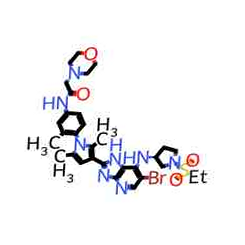 CCS(=O)(=O)N1CC[C@H](Nc2c(Br)cnc3nc(-c4cc(C)n(-c5ccc(NC(=O)CN6CCOCC6)cc5C)c4C)[nH]c23)C1